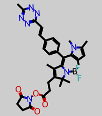 CC1=C(CCC(=O)ON2C(=O)CCC2=O)C(C)(C)N(B(F)F)/C1=C(/c1ccc(/C=C/c2nnc(C)nn2)cc1)c1c(C)cc(C)n1C